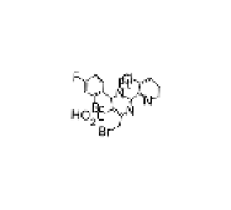 CCN1C(c2ncccc2Cl)=NC(CBr)=C(C(=O)O)C1c1ccc(F)cc1Br